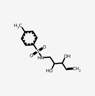 C=CC(O)C(O)CNS(=O)(=O)c1ccc(C)cc1